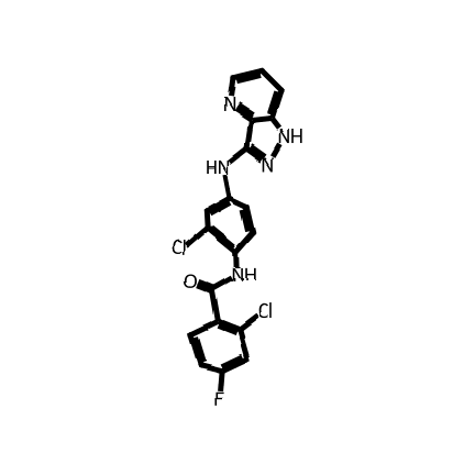 O=C(Nc1ccc(Nc2n[nH]c3cccnc23)cc1Cl)c1ccc(F)cc1Cl